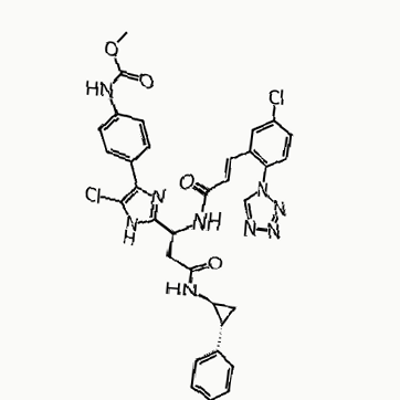 COC(=O)Nc1ccc(-c2nc([C@H](CC(=O)N[C@H]3C[C@@H]3c3ccccc3)NC(=O)C=Cc3cc(Cl)ccc3-n3cnnn3)[nH]c2Cl)cc1